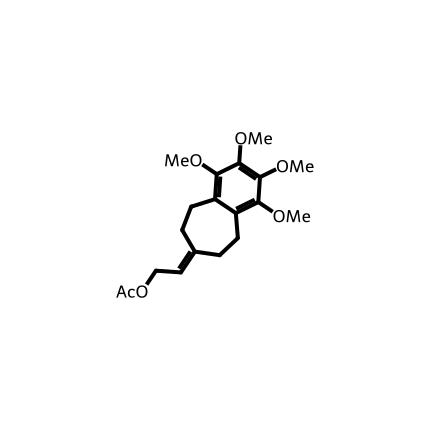 COc1c2c(c(OC)c(OC)c1OC)CCC(=CCOC(C)=O)CC2